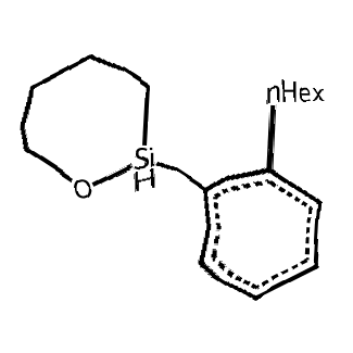 CCCCCCc1ccccc1[SiH]1CCCCO1